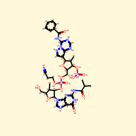 CC(C)C(=O)Nc1nc2c(ncn2C2OC(CO)C(C)C2OP(=O)(OCCC#N)OCC2OC(c3cnn4c(NC(=O)c5ccccc5)ncnc34)C(C)C2O[PH](=O)O)c(=O)[nH]1